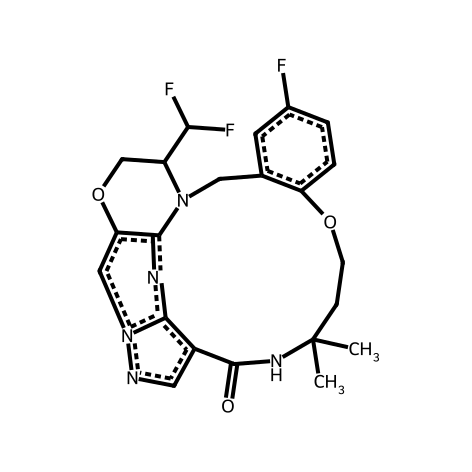 CC1(C)CCOc2ccc(F)cc2CN2c3nc4c(cnn4cc3OCC2C(F)F)C(=O)N1